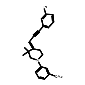 COc1cccc(N2CC/C(=C\C#Cc3cccc(C#N)c3)C(C)(C)C2)c1